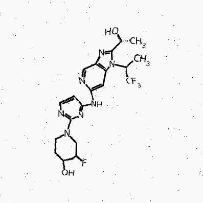 C[C@H](n1c([C@@H](C)O)nc2cnc(Nc3ccnc(N4CCC(O)C(F)C4)n3)cc21)C(F)(F)F